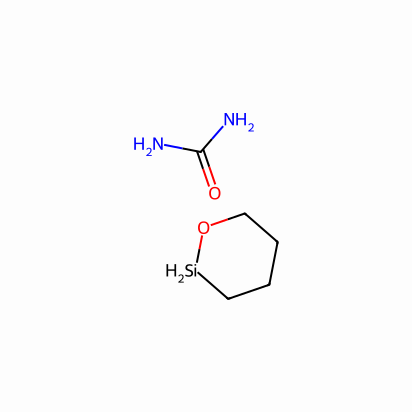 C1CC[SiH2]OC1.NC(N)=O